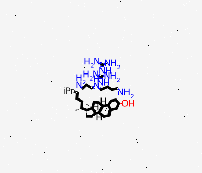 CC(C)CCC[C@@H](C)[C@H]1CC[C@H]2[C@@H]3CC=C4C[C@@H](O)CC[C@]4(C)[C@H]3CC[C@]12C.N=C(N)N.N=C(N)N.NCCCCNCCCN